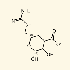 N=C(N)NC[C@@H]1CC([N+](=O)[O-])C(O)[C@H](O)O1